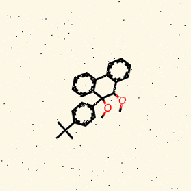 COC1c2ccccc2-c2ccccc2C1(OC)c1ccc(C(C)(C)C)cc1